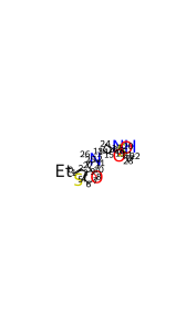 CCc1cc2c(s1)CCO[C@@]21CCN(C[C@H]2C[C@@H](NS(=O)(=O)C3CC3)C2)[C@@H](C)C1